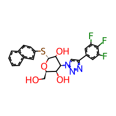 OC[C@H]1O[C@H](Sc2ccc3ccccc3c2)[C@H](O)[C@@H](n2cc(-c3cc(F)c(F)c(F)c3)nn2)[C@H]1O